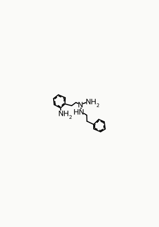 Nc1ccccc1CCN(N)NCCc1ccccc1